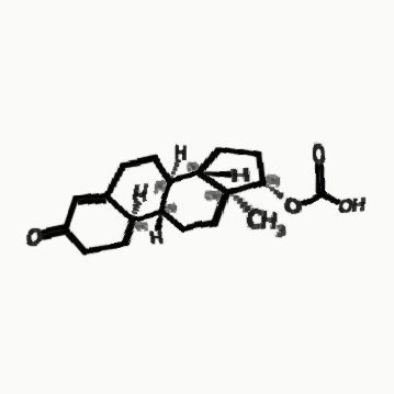 C[C@]12CC[C@H]3[C@@H](CCC4=CC(=O)CC[C@@H]43)[C@@H]1CC[C@@H]2OC(=O)O